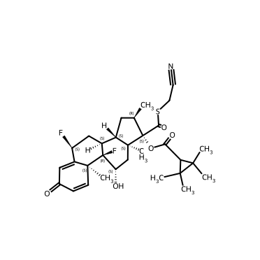 C[C@@H]1C[C@H]2[C@@H]3C[C@H](F)C4=CC(=O)C=C[C@]4(C)[C@@]3(F)[C@@H](O)C[C@]2(C)[C@]1(OC(=O)C1C(C)(C)C1(C)C)C(=O)SCC#N